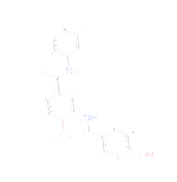 COc1ccc(C(=O)Nc2ccccc2)cc1NCc1ccc(O)cc1